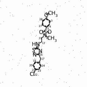 COc1ccc(S(=O)(=O)N(C)CCNc2nc(Cc3ccc(Cl)cc3)ns2)cc1